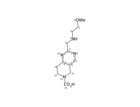 COCCNCc1ncc2c(n1)CCN(C(=O)O)C2